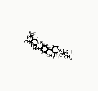 Cc1cc(Nc2ncc(C(F)(F)F)c(Cl)n2)c(F)cc1C1CCN(OC(C)(C)C)CC1